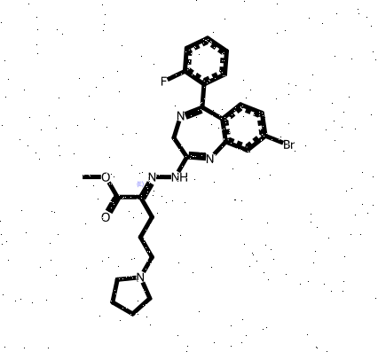 COC(=O)/C(CCCN1CCCC1)=N/NC1=Nc2cc(Br)ccc2C(c2ccccc2F)=NC1